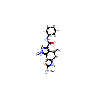 CC(=O)Nc1nc2c(s1)-c1c(c(C(=O)Nc3ccccc3)nn1C(C)C)C(C)C2